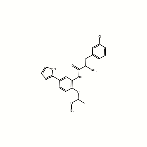 CCOC(C)Oc1ccc(-c2ncc[nH]2)cc1NC(=O)C(N)Cc1cccc(Cl)c1